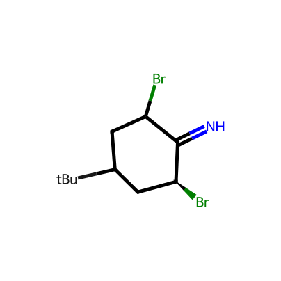 CC(C)(C)C1CC(Br)C(=N)[C@@H](Br)C1